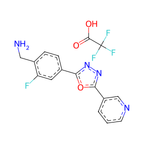 NCc1ccc(-c2nnc(-c3cccnc3)o2)cc1F.O=C(O)C(F)(F)F